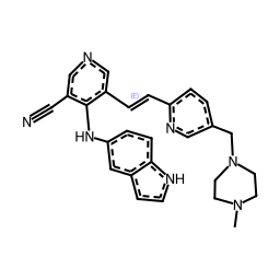 CN1CCN(Cc2ccc(/C=C/c3cncc(C#N)c3Nc3ccc4[nH]ccc4c3)nc2)CC1